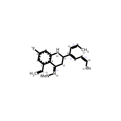 C=Cc1cc(F)cc2c1/C(=N\NC)CC(C(/C=C\C)=C/C=C\C(C)CC)N2